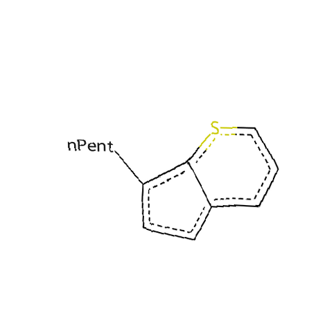 CCCCCc1ccc2cccsc1-2